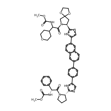 COC(=O)NC(C(=O)N1CC2(C[C@H]1c1ncc(-c3ccc4cc(-c5ccc(-c6cnc([C@@H]7CCCN7C(=O)[C@H](NC(=O)OC)c7ccccc7)[nH]6)cc5)ccc4c3)[nH]1)OCCO2)C1CCOCC1